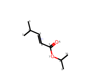 CC(C)/C=C/C(=O)OC(C)C